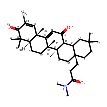 CN(C)C(=O)CC[C@]12CCC(C)(C)CC1C1C(=O)C=C3[C@@]4(C)C=C(C#N)C(=O)C(C)(C)[C@@H]4CC[C@@]3(C)[C@]1(C)CC2